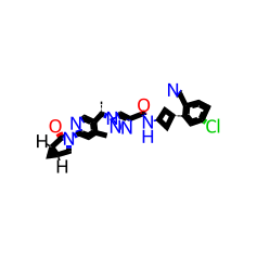 Cc1cc(N2C[C@H]3C[C@H]3C2=O)ncc1[C@H](C)n1cc(C(=O)N[C@H]2C[C@@H](c3cc(Cl)ccc3C#N)C2)nn1